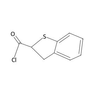 O=C(Cl)C1Cc2ccccc2S1